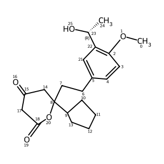 COc1ccc(CCC2(C3CCCC3)CC(=O)CC(=O)O2)cc1[C@@H](C)O